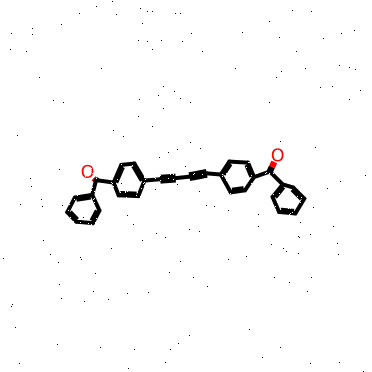 O=C(c1ccccc1)c1ccc(C#CC#Cc2ccc(C(=O)c3ccccc3)cc2)cc1